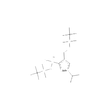 CC(C)n1cc(CO[Si](C)(C)C(C)(C)C)c([SH](N)(=O)N[Si](C)(C)C(C)(C)C)n1